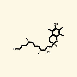 Cc1c(C)c2c(c(C)c1O)CC[C@@](C)(CCC[C@H](C)CCC[C@H](C)CCCC(C)C)O2.Cl